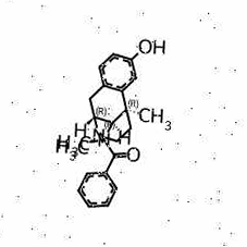 CN1CC[C@]2(C)c3cc(O)ccc3C[C@@H]1[C@@H]2N(C)C(=O)c1ccccc1